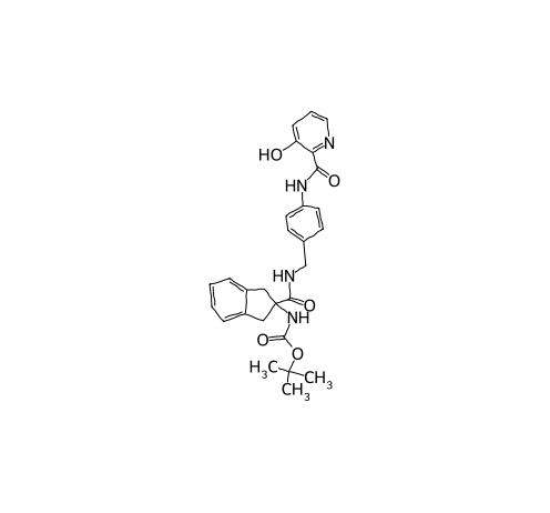 CC(C)(C)OC(=O)NC1(C(=O)NCc2ccc(NC(=O)c3ncccc3O)cc2)Cc2ccccc2C1